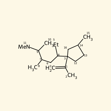 C=C(C)C1(C(CC)CC(C)C(C)NC)CCC(C)C1